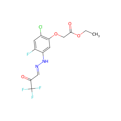 CCOC(=O)COc1cc(NN=CC(=O)C(F)(F)F)c(F)cc1Cl